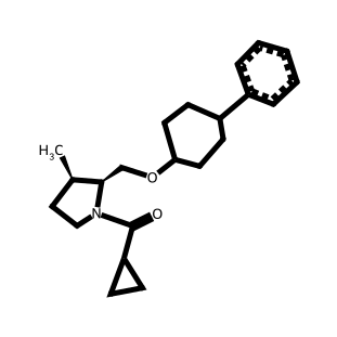 C[C@@H]1CCN(C(=O)C2CC2)[C@@H]1COC1CCC(c2ccccc2)CC1